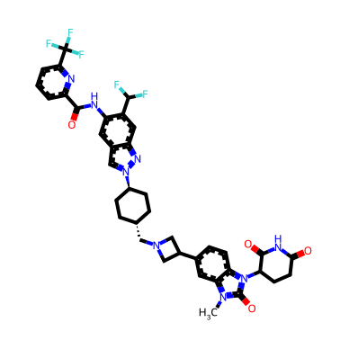 Cn1c(=O)n(C2CCC(=O)NC2=O)c2ccc(C3CN(C[C@H]4CC[C@H](n5cc6cc(NC(=O)c7cccc(C(F)(F)F)n7)c(C(F)F)cc6n5)CC4)C3)cc21